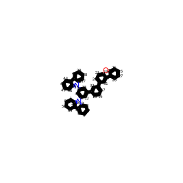 C1=Cc2c(c3ccccc3n2-c2cc(-c3cccc(-c4ccc5oc6ccccc6c5c4)c3)cc(-n3c4ccccc4c4ccccc43)c2)CC1